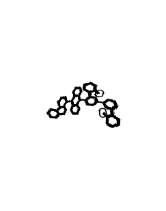 c1ccc2c(c1)ccc1c(-c3c4ccccc4c(-c4ccc(-c5cccc6c5oc5ccccc56)c5oc6ccccc6c45)c4ccccc34)cccc12